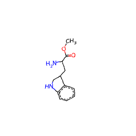 COC(=O)C(N)CC1CNc2ccccc21